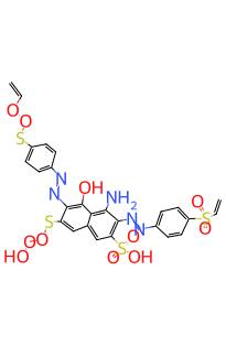 C=COOSc1ccc(N=Nc2c(SOOO)cc3cc(S(=O)(=O)O)c(N=Nc4ccc(S(=O)(=O)C=C)cc4)c(N)c3c2O)cc1